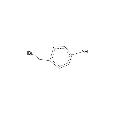 CCC(C)Cc1ccc(S)cc1